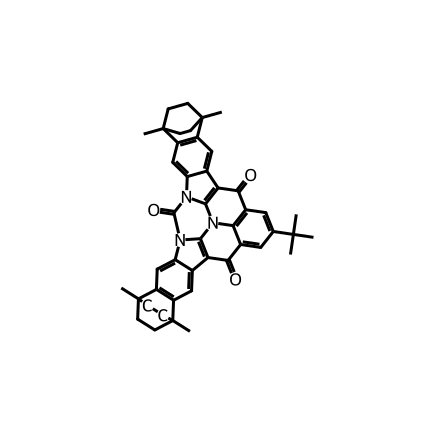 CC(C)(C)c1cc2c(=O)c3c4cc5c(cc4n4c(=O)n6c7cc8c(cc7c7c(=O)c(c1)c2n(c34)c76)C1(C)CCC8(C)CC1)C1(C)CCC5(C)CC1